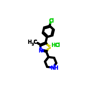 Cc1nc(C2CCNCC2)sc1-c1ccc(Cl)cc1.Cl